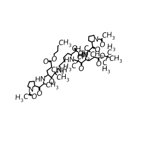 CCCCOC(=O)CCC(NC(C)C(=O)C1CCCN1C(C)=O)C(=O)C(C)(C)NCCCCC(NC(C)(C)C(=O)C(CCC(=O)OC(C)(C)C)NC(C)(C)C(=O)C1CCCN1C(C)=O)C(=O)O